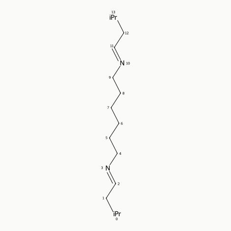 CC(C)CC=NCCCCCCN=CCC(C)C